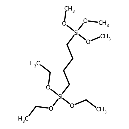 CCO[Si](CCCC[Si](OC)(OC)OC)(OCC)OCC